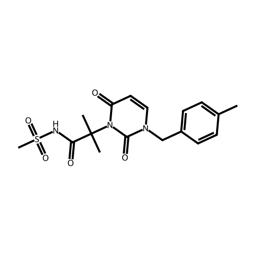 Cc1ccc(Cn2ccc(=O)n(C(C)(C)C(=O)NS(C)(=O)=O)c2=O)cc1